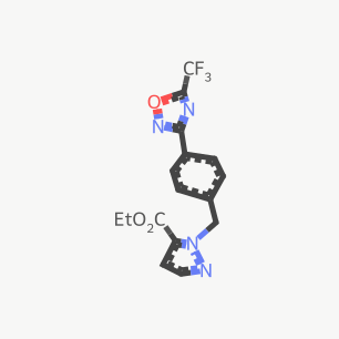 CCOC(=O)c1ccnn1Cc1ccc(-c2noc(C(F)(F)F)n2)cc1